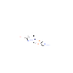 CC#C[C@@H]1CN(S(=O)(=O)c2ccc(N)nc2)CCN1c1ncc([C@@](C)(O)C(F)(F)F)cn1